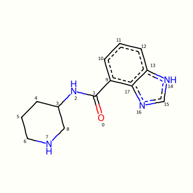 O=C(NC1CCCNC1)c1cccc2[nH]cnc12